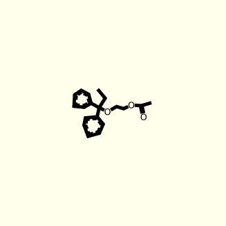 CCC(OCCOC(C)=O)(c1ccccc1)c1ccccc1